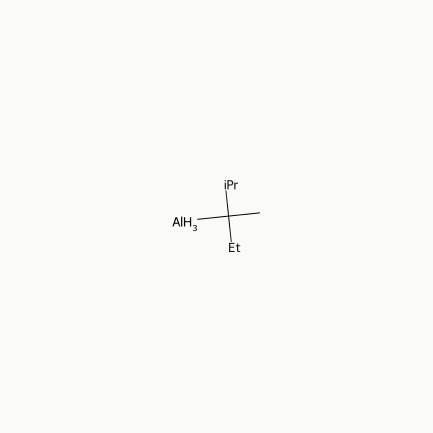 CCC(C)(C)C(C)C.[AlH3]